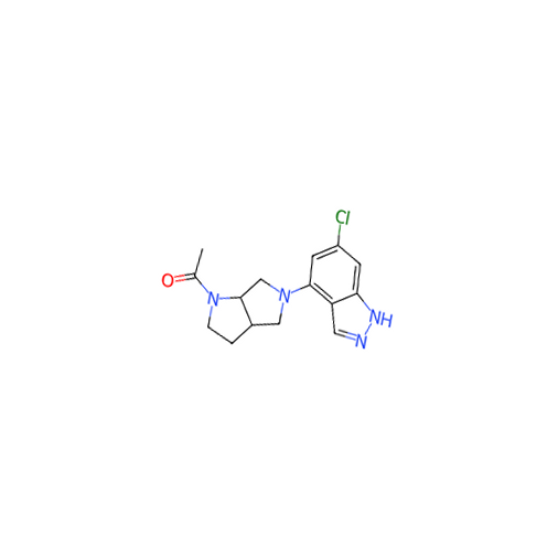 CC(=O)N1CCC2CN(c3cc(Cl)cc4[nH]ncc34)CC21